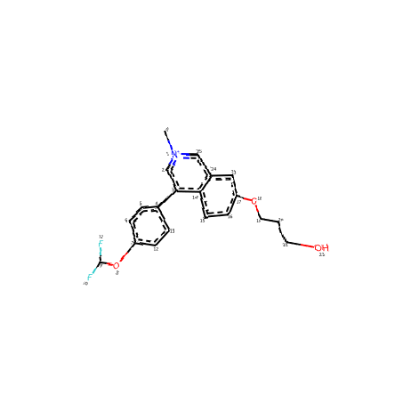 C[n+]1cc(-c2ccc(OC(F)F)cc2)c2ccc(OCCCO)cc2c1